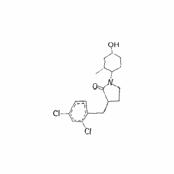 CC1CC(O)CCC1N1CCC(Cc2ccc(Cl)cc2Cl)C1=O